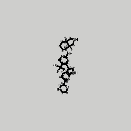 FC(F)(F)c1cnc(N[C@@H]2CCC[C@@H]3CNC[C@@H]32)nc1-c1c[nH]c2nc(C3CNCCO3)ccc12